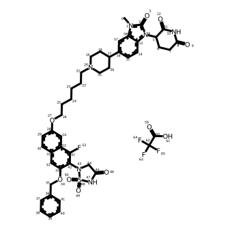 Cn1c(=O)n(C2CCC(=O)NC2=O)c2ccc(C3CCN(CCCCCCOc4ccc5cc(OCc6ccccc6)c(N6CC(=O)NS6(=O)=O)c(F)c5c4)CC3)cc21.O=C(O)C(F)(F)F